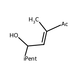 CCCC(C)C(O)C=C(C)C(C)=O